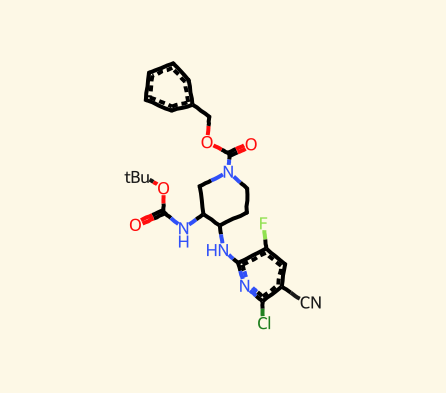 CC(C)(C)OC(=O)NC1CN(C(=O)OCc2ccccc2)CCC1Nc1nc(Cl)c(C#N)cc1F